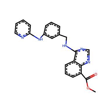 COC(=O)c1cccc2c(NCc3cccc(Nc4ccccn4)c3)ncnc12